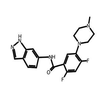 CN1CCN(c2cc(C(=O)Nc3ccc4cn[nH]c4c3)c(F)cc2F)CC1